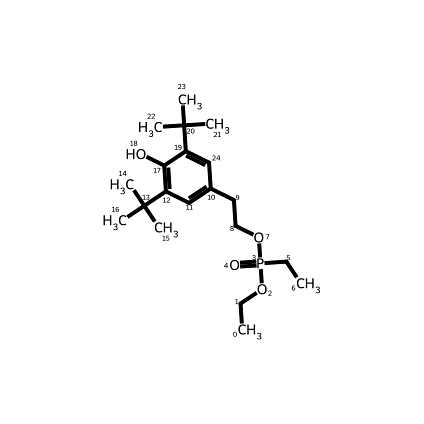 CCOP(=O)(CC)OCCc1cc(C(C)(C)C)c(O)c(C(C)(C)C)c1